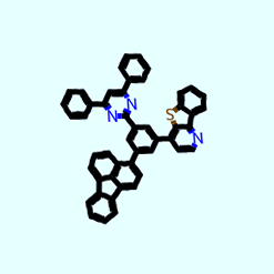 c1ccc(-c2cc(-c3ccccc3)nc(-c3cc(-c4ccc5c6c(cccc46)-c4ccccc4-5)cc(-c4ccnc5c4sc4ccccc45)c3)n2)cc1